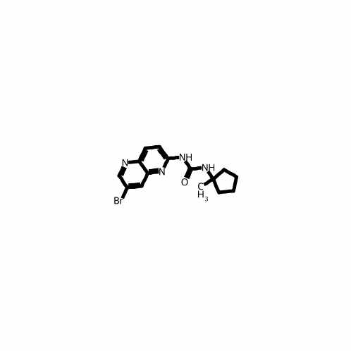 CC1(NC(=O)Nc2ccc3ncc(Br)cc3n2)CCCC1